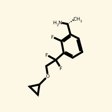 C[C@@H](N)c1cccc(C(F)(F)COC2CC2)c1F